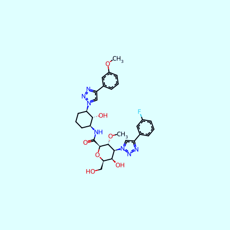 COc1cccc(-c2cn([C@@H]3CCC[C@H](NC(=O)[C@@H]4O[C@H](CO)[C@H](O)[C@H](n5cc(-c6cccc(F)c6)nn5)[C@H]4OC)[C@H]3O)nn2)c1